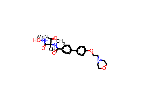 CNC(=O)C(C)(C(=O)NO)N(C)C(=O)c1ccc(-c2ccc(OCCN3CCOCC3)cc2)cc1